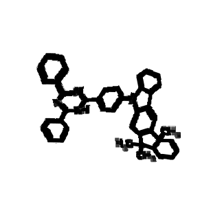 CC1(C)c2cc3c(cc2C2(C)C=CC=CC12)c1ccccc1n3-c1ccc(C2N=C(c3ccccc3)N=C(c3ccccc3)N2)cc1